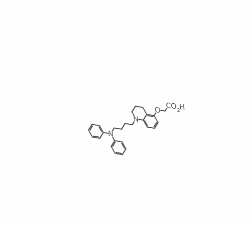 O=C(O)COc1cccc2c1CCCN2CCCCN(c1ccccc1)c1ccccc1